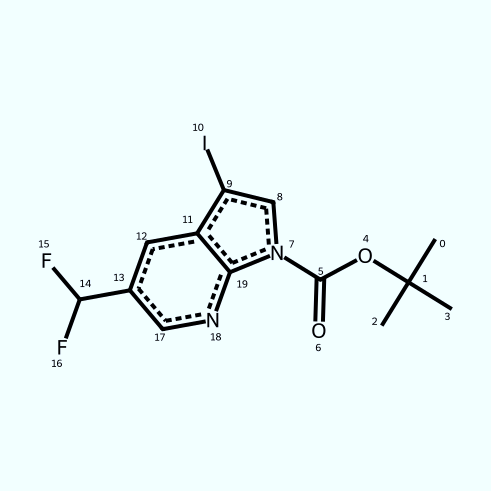 CC(C)(C)OC(=O)n1cc(I)c2cc(C(F)F)cnc21